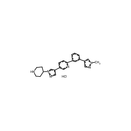 Cl.Cn1cc(-c2cccc(-c3ccc(-c4cnn(C5CCNCC5)c4)cn3)c2)cn1